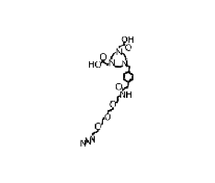 [N-]=[N+]=NCCOCCOCCOCCNC(=O)Cc1ccc(CN2CCN(CC(=O)O)CCN(CC(=O)O)CC2)cc1